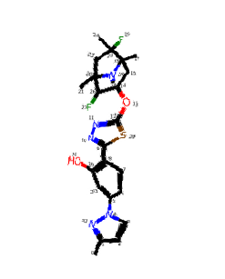 Cc1ccn(-c2ccc(-c3nnc(OC4CC5(C)N(C)C(C)(CC5(C)F)C4F)s3)c(O)c2)n1